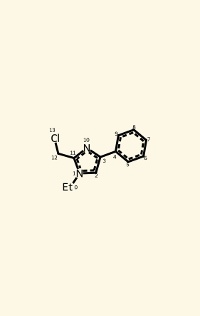 CCn1cc(-c2ccccc2)nc1CCl